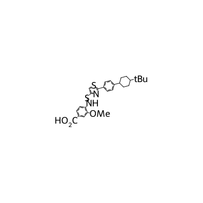 COc1cc(C(=O)O)ccc1NSc1csc(-c2ccc(C3CCC(C(C)(C)C)CC3)cc2)n1